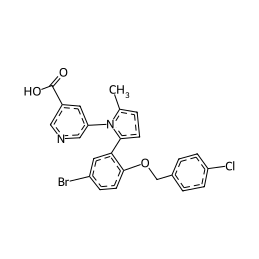 Cc1ccc(-c2cc(Br)ccc2OCc2ccc(Cl)cc2)n1-c1cncc(C(=O)O)c1